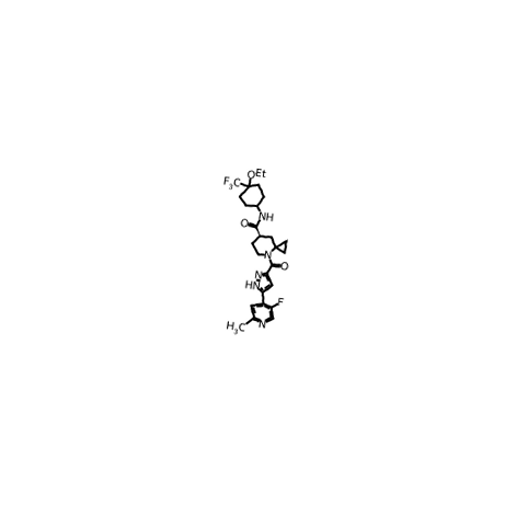 CCOC1(C(F)(F)F)CCC(NC(=O)[C@@H]2CCN(C(=O)c3cc(-c4cc(C)ncc4F)[nH]n3)C3(CC3)C2)CC1